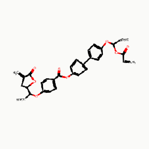 C=CC(=O)OC(CCCCC)Oc1ccc(-c2ccc(OC(=O)c3ccc(OC(CCCCCCC)C4CC(=C)C(=O)O4)cc3)cc2)cc1